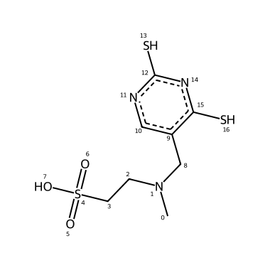 CN(CCS(=O)(=O)O)Cc1cnc(S)nc1S